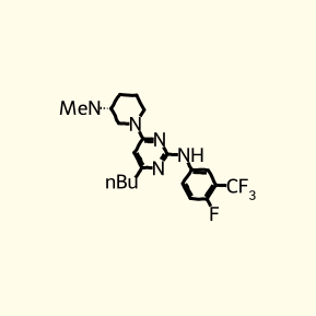 CCCCc1cc(N2CCC[C@@H](NC)C2)nc(Nc2ccc(F)c(C(F)(F)F)c2)n1